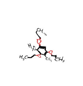 CCCOc1cc(OCCC)c(C)c(OCCC)c1C